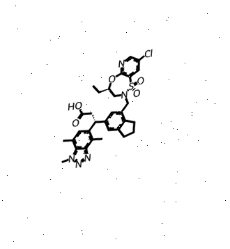 CC[C@@H]1CN(Cc2cc([C@@H](CC(=O)O)c3cc(C)c4c(nnn4C)c3C)cc3c2CCC3)S(=O)(=O)c2cc(Cl)cnc2O1